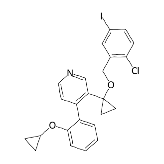 Clc1ccc(I)cc1COC1(c2cnccc2-c2ccccc2OC2CC2)CC1